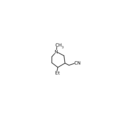 CCC1CCN(C)CC1CC#N